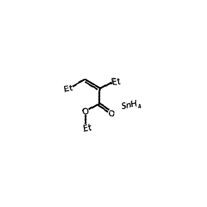 CCC=C(CC)C(=O)OCC.[SnH4]